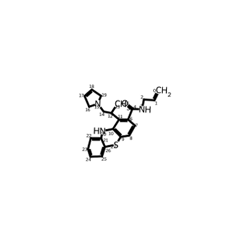 C=CCNC(=O)c1ccc2c(c1C(C)CN1CC=CC1)Nc1ccccc1S2